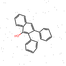 Oc1c(-c2ccccc2)c(-c2ccccc2)cc2ccccc12